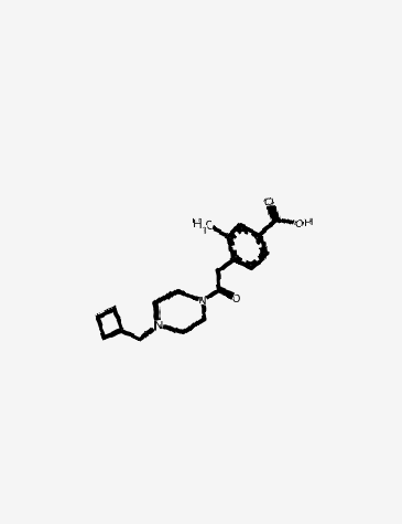 Cc1cc(C(=O)O)ccc1CC(=O)N1CCN(CC2CCC2)CC1